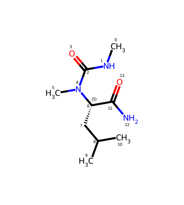 CNC(=O)N(C)[C@@H](CC(C)C)C(N)=O